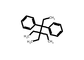 CCC(CC)(CC)C(CC)(c1ccccc1)c1ccccc1